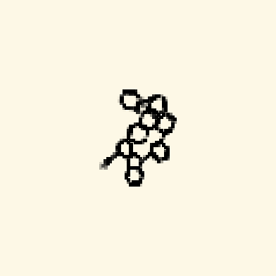 N#CC1=CCCc2c1c1ccccc1n2-c1cccc(-c2cccc(C#N)c2C2=C(n3c4c(c5ccccc53)C=CCC4)C=CCC2)c1